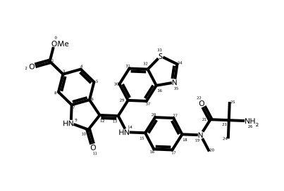 COC(=O)c1ccc2c(c1)NC(=O)/C2=C(\Nc1ccc(N(C)C(=O)C(C)(C)N)cc1)c1ccc2scnc2c1